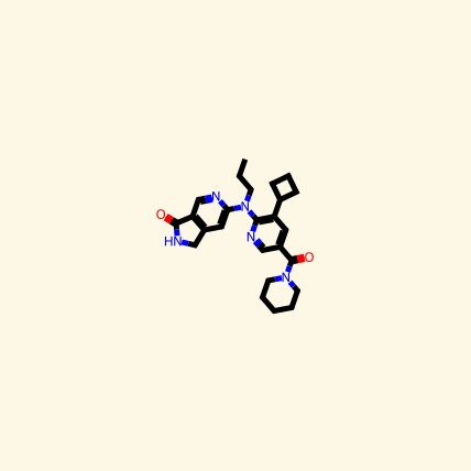 CCCN(c1cc2c(cn1)C(=O)NC2)c1ncc(C(=O)N2CCCCC2)cc1C1CCC1